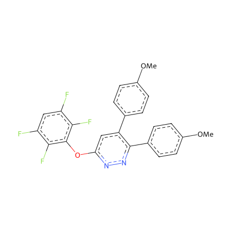 COc1ccc(-c2cc(Oc3c(F)c(F)cc(F)c3F)nnc2-c2ccc(OC)cc2)cc1